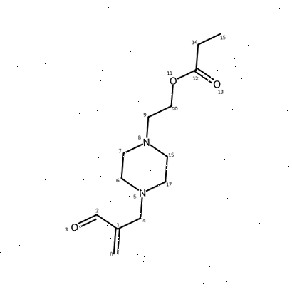 C=C(C=O)CN1CCN(CCOC(=O)CC)CC1